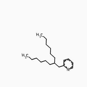 CCCCCCC(CCCCCC)Cc1ccccn1